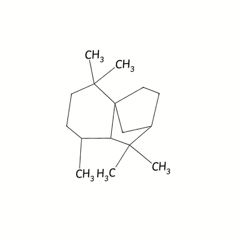 CC1CCC(C)(C)C23CCC(C2)C(C)(C)C13